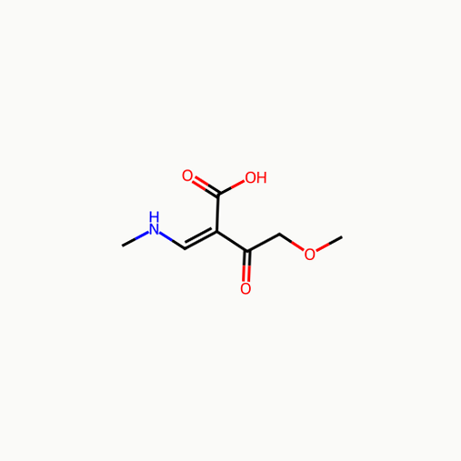 CNC=C(C(=O)O)C(=O)COC